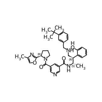 Cc1coc([C@H]2CCCN2C(=O)c2cncc(C(=O)N[C@@H](C)[C@@H](CNCc3cccc(C(C)(C)C)c3)c3ccccc3O)c2)n1